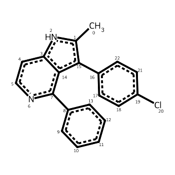 Cc1[nH]c2ccnc(-c3ccccc3)c2c1-c1ccc(Cl)cc1